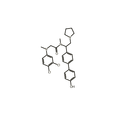 CN(CC(=O)N(C)C(CN1CCCC1)c1ccc(-c2ccc(O)cc2)cc1)c1ccc(Cl)c(Cl)c1